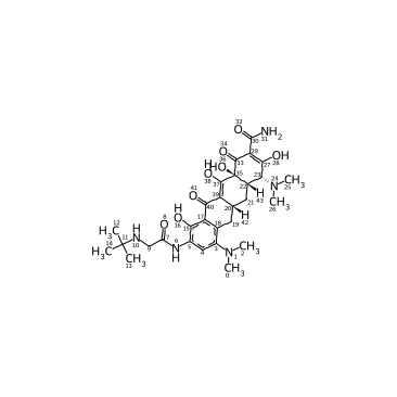 CN(C)c1cc(NC(=O)CNC(C)(C)C)c(O)c2c1C[C@H]1C[C@H]3[C@@H](N(C)C)C(O)=C(C(N)=O)C(=O)[C@@]3(O)C(O)=C1C2=O